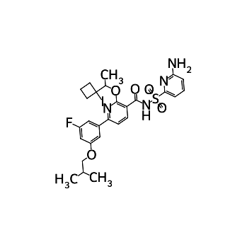 CC(C)COc1cc(F)cc(-c2ccc(C(=O)NS(=O)(=O)c3cccc(N)n3)c(OC(C)C3(I)CCC3)n2)c1